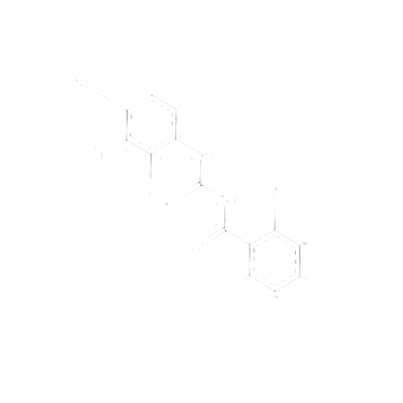 N#Cc1ccc(NC(=O)NC(=O)c2ccccc2F)c(Cl)c1Cl